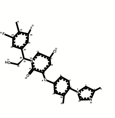 Cc1cn(-c2ccc(Oc3cc(Cl)cn([C@@H](CO)c4cc(F)c(C)c(F)c4)c3=O)cc2C)cn1